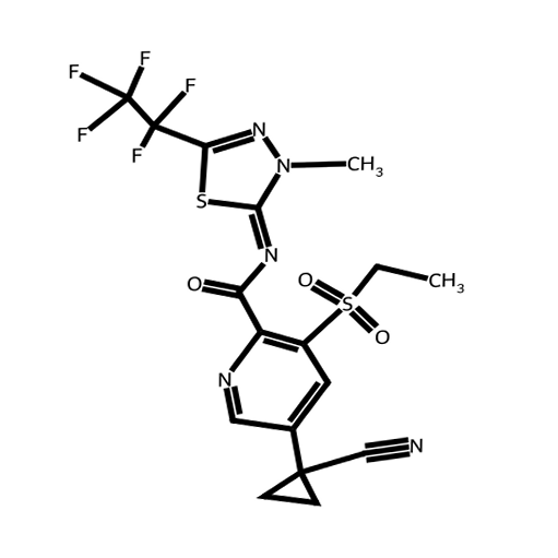 CCS(=O)(=O)c1cc(C2(C#N)CC2)cnc1C(=O)N=c1sc(C(F)(F)C(F)(F)F)nn1C